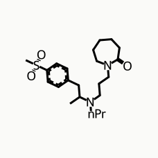 CCCN(CCCN1CCCCCC1=O)C(C)Cc1ccc(S(C)(=O)=O)cc1